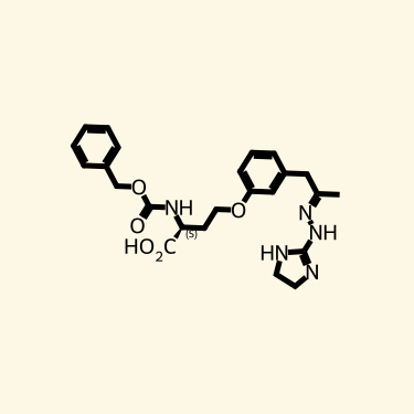 CC(Cc1cccc(OCC[C@H](NC(=O)OCc2ccccc2)C(=O)O)c1)=NNC1=NCCN1